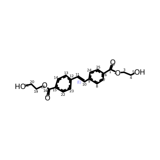 O=C(OCCO)c1ccc(/C=C/c2ccc(C(=O)OCCO)cc2)cc1